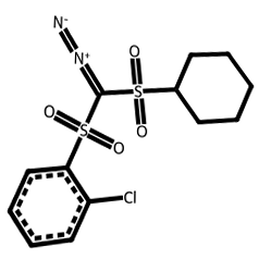 [N-]=[N+]=C(S(=O)(=O)c1ccccc1Cl)S(=O)(=O)C1CCCCC1